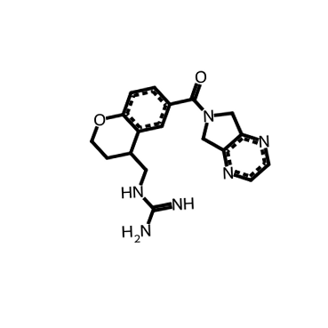 N=C(N)NCC1CCOc2ccc(C(=O)N3Cc4nccnc4C3)cc21